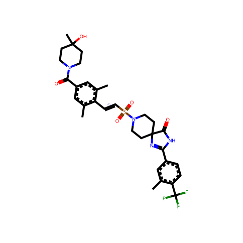 Cc1cc(C2=NC3(CCN(S(=O)(=O)/C=C/c4c(C)cc(C(=O)N5CCC(C)(O)CC5)cc4C)CC3)C(=O)N2)ccc1C(F)(F)F